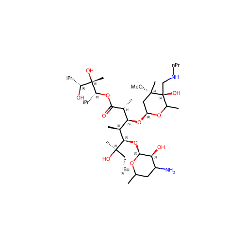 CCCNC[C@]1(O)C(C)O[C@@H](O[C@@H]([C@H](C)[C@@H](O[C@@H]2OC(C)CC(N)[C@@H]2O)[C@](C)(O)C[C@@H](C)CC)[C@@H](C)C(=O)O[C@H](C(C)C)[C@@](C)(O)[C@H](O)C(C)C)C[C@]1(C)OC